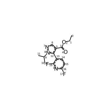 CCOC(=O)c1cnn(C(C)C)c1-c1ccc(F)nc1F